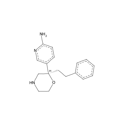 Nc1ccc([C@]2(CCc3ccccc3)CNCCO2)cn1